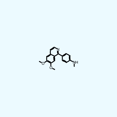 CNc1ccc(-c2nccc3cc(OC)c(OC)cc23)cc1